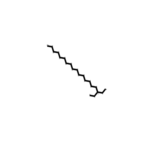 [CH2]CC(CC)CCCCCCCCCCCCCCCC